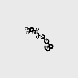 O=C(NCC(=O)N1CCC(N2CCC(c3cccc4c3NCCC4)CC2)C1)c1ccc(Cl)c(Cl)c1